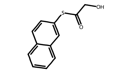 O=C(CO)Sc1ccc2ccccc2c1